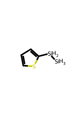 [SiH3][SiH2]c1cccs1